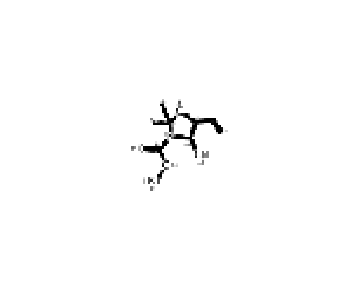 C=CC1OC(C)(C)N(C(=O)OC(C)(C)C)C1C#N